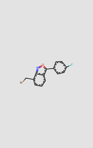 Fc1ccc(-c2onc3c(CBr)cccc23)cc1